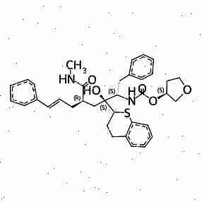 CNC(=O)[C@H](CC=Cc1ccccc1)C[C@@](O)(C1CCc2ccccc2S1)[C@H](Cc1ccccc1)NC(=O)O[C@H]1CCOC1